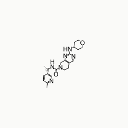 Cc1ccc([C@H](C)NC(=O)N2CCc3cnc(NC4CCOCC4)nc3C2)cn1